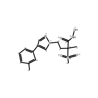 Cc1cccc(-c2cnn(CCC(C)(C(=O)NO)S(C)(=O)=O)c2)c1